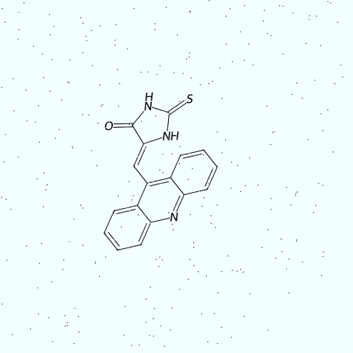 O=C1NC(=S)NC1=Cc1c2ccccc2nc2ccccc12